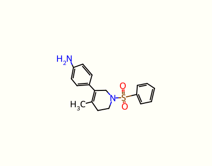 CC1=C(c2ccc(N)cc2)CN(S(=O)(=O)c2ccccc2)CC1